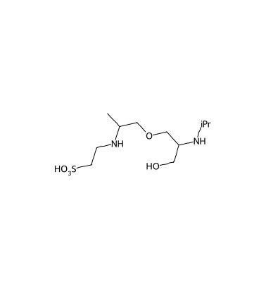 CC(C)NC(CO)COCC(C)NCCS(=O)(=O)O